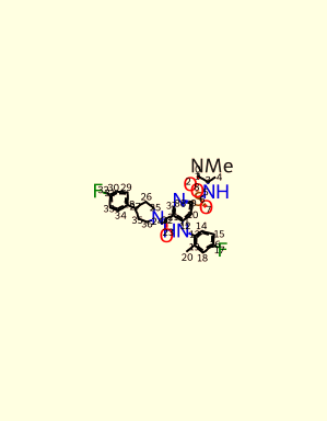 CNC(=O)C(C)NS(=O)(=O)c1cc(Nc2ccc(F)cc2C)c(C(=O)N2CCC(c3ccc(F)cc3)CC2)cn1